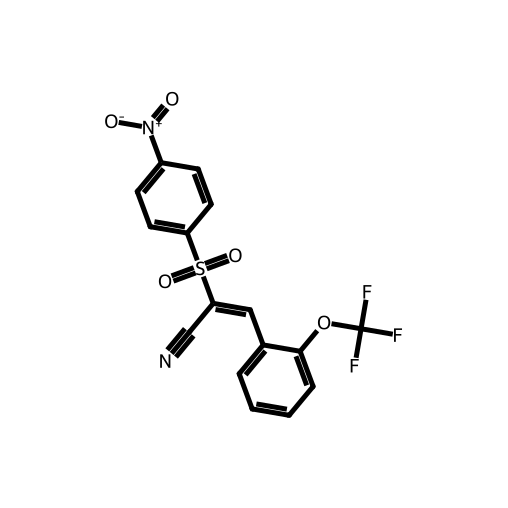 N#CC(=Cc1ccccc1OC(F)(F)F)S(=O)(=O)c1ccc([N+](=O)[O-])cc1